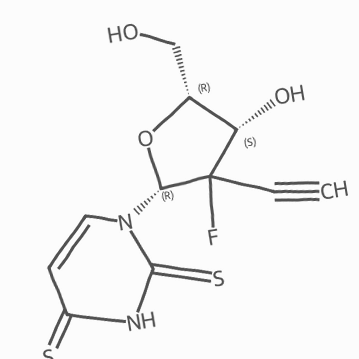 C#CC1(F)[C@@H](O)[C@@H](CO)O[C@H]1n1ccc(=S)[nH]c1=S